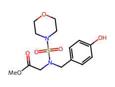 COC(=O)CN(Cc1ccc(O)cc1)S(=O)(=O)N1CCOCC1